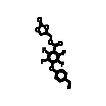 C=Cc1ccc(Oc2c(F)c(F)c(C(=O)OCC3COC(=O)O3)c(F)c2F)cc1